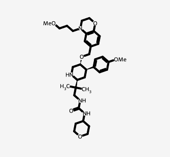 COCCCN1CCOc2ccc(CO[C@H]3CN[C@H](C(C)(C)CNC(=O)NC4CCOCC4)C[C@@H]3c3ccc(OC)cc3)cc21